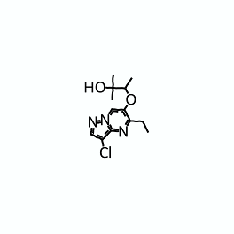 CCc1nc2c(Cl)cnn2cc1OC(C)C(C)(C)O